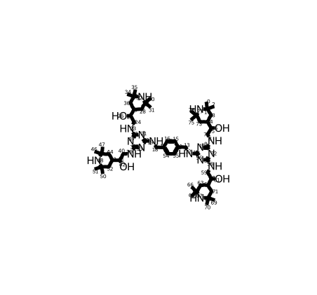 CC1(C)CC(C(O)CNc2nc(NCc3ccc(CNc4nc(NCC(O)C5CC(C)(C)NC(C)(C)C5)nc(NCC(O)C5CC(C)(C)NC(C)(C)C5)n4)cc3)nc(NCC(O)C3CC(C)(C)NC(C)(C)C3)n2)CC(C)(C)N1